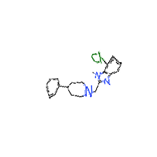 Cn1c(CN2CCC(c3ccccc3)CC2)nc2cccc(Cl)c21